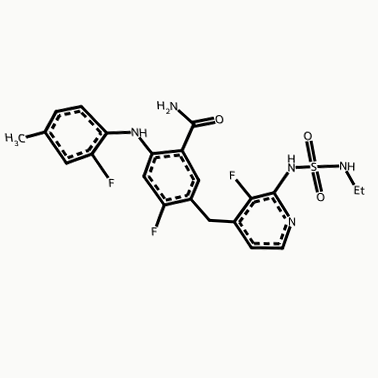 CCNS(=O)(=O)Nc1nccc(Cc2cc(C(N)=O)c(Nc3ccc(C)cc3F)cc2F)c1F